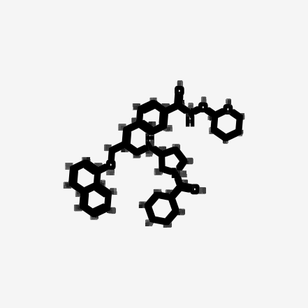 O=C(NOC1CCCCO1)c1ccc(C=C(CNC2CCN(C(=O)C3CCCCC3)C2)COc2cccc3ccccc23)cc1